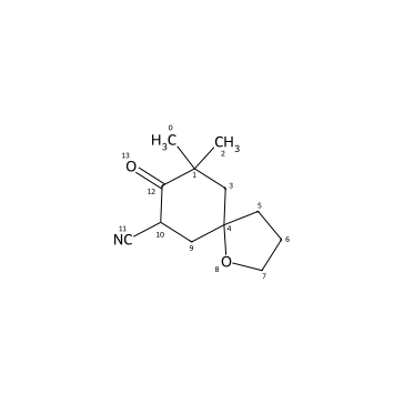 CC1(C)CC2(CCCO2)CC(C#N)C1=O